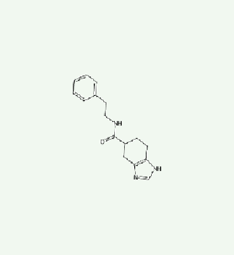 O=C(NCCc1ccccc1)C1CCc2[nH]cnc2C1